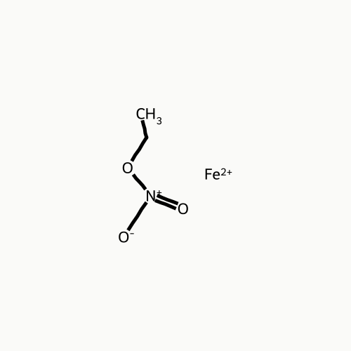 CCO[N+](=O)[O-].[Fe+2]